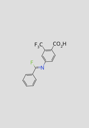 O=C(O)c1ccc(N=C(F)c2ccccc2)cc1C(F)(F)F